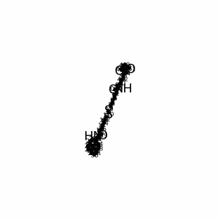 O=C(CCCCCCCSSCCCCCCCC(=O)NCc1ccc2ccc3cccc4ccc1c2c34)NCCCCCCN1C(=O)C=CC1=O